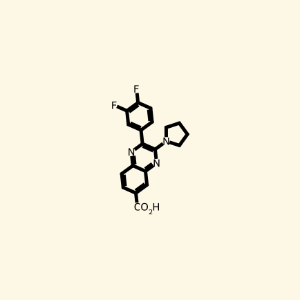 O=C(O)c1ccc2nc(-c3ccc(F)c(F)c3)c(N3CCCC3)nc2c1